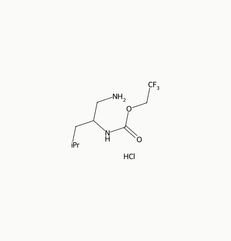 CC(C)CC(CN)NC(=O)OCC(F)(F)F.Cl